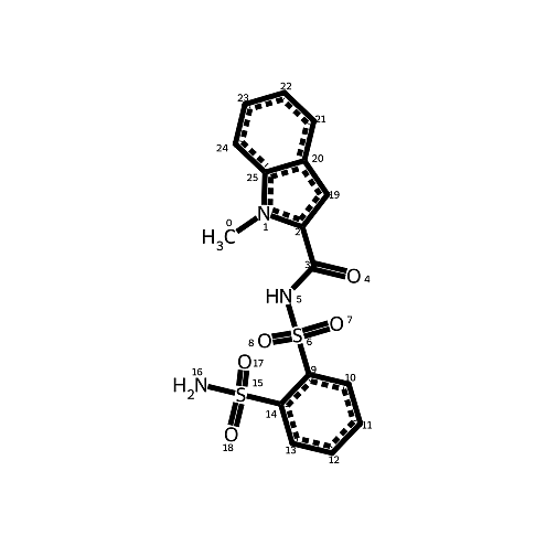 Cn1c(C(=O)NS(=O)(=O)c2ccccc2S(N)(=O)=O)cc2ccccc21